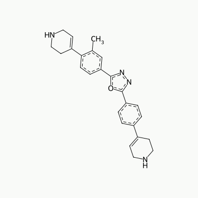 Cc1cc(-c2nnc(-c3ccc(C4=CCNCC4)cc3)o2)ccc1C1=CCNCC1